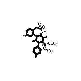 Cc1ccc(-c2c(C)c3c(c(C)c2[C@H](OC(C)(C)C)C(=O)O)NS(=O)(=O)Cc2ccc(F)cc2-3)cc1